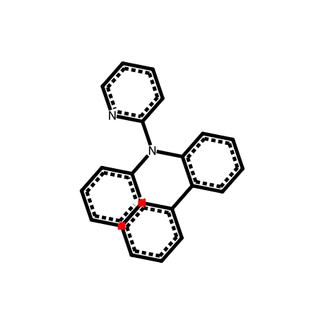 c1ccc(-c2ccccc2N(c2ccccn2)c2ccccn2)cc1